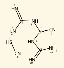 N#CS.N#C[SH](NC(=N)N)NC(=N)N